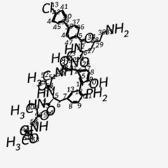 C[C@H](NC(=O)[C@@H]1Cc2ccc(P)c(c2)-c2cc(ccc2O)[C@H](N(C)C(=O)[C@H](CCCCN)NC(=O)c2ccc(-c3ccc(Cl)cc3)cc2)C(=O)N[C@@H](C)C(=O)N1)C(=O)CNS(C)(=O)=O